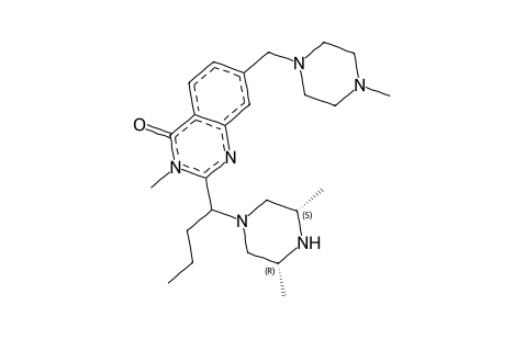 CCCC(c1nc2cc(CN3CCN(C)CC3)ccc2c(=O)n1C)N1C[C@@H](C)N[C@@H](C)C1